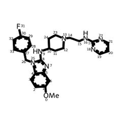 COc1ccc2c(c1)nc(NC1CCN(CCNc3ncccn3)CC1)n2Cc1ccc(F)cc1